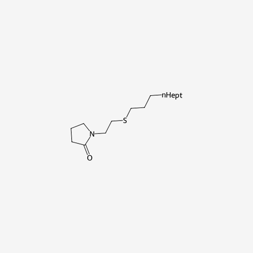 CCCCCCCCCCSCCN1CCCC1=O